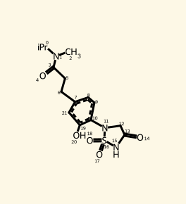 CC(C)N(C)C(=O)CCc1ccc(N2CC(=O)NS2(=O)=O)c(O)c1